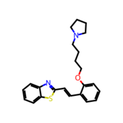 C(=C\c1ccccc1OCCCCN1CCCC1)/c1nc2ccccc2s1